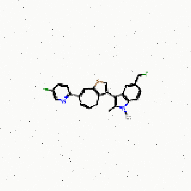 CCn1c(C)c(-c2csc3c2CC=CC(c2ccc(F)cn2)=C3)c2cc(CF)ccc21